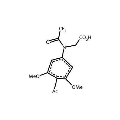 COc1cc(N(CC(=O)O)C(=O)C(F)(F)F)cc(OC)c1C(C)=O